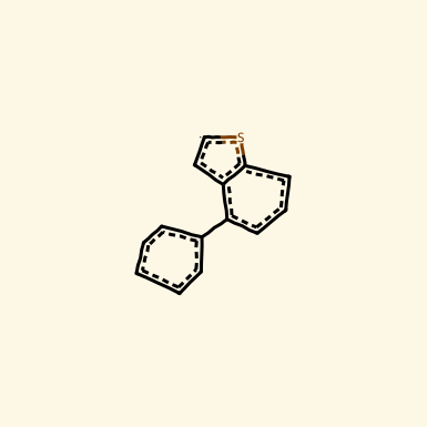 [c]1cc2c(-c3ccccc3)cccc2s1